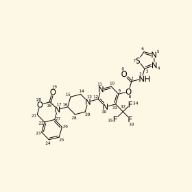 O=C(Nc1nncs1)Oc1cnc(N2CCC(N3C(=O)OCc4ccccc43)CC2)nc1C(F)(F)F